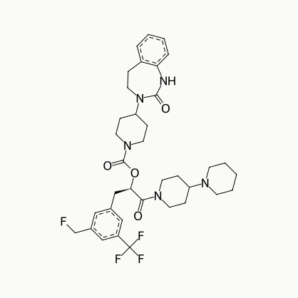 O=C(O[C@H](Cc1cc(CF)cc(C(F)(F)F)c1)C(=O)N1CCC(N2CCCCC2)CC1)N1CCC(N2CCc3ccccc3NC2=O)CC1